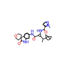 CC(C1C(NC(=O)c2ccnn2C)C1C(=O)Nc1ccc2c(c1)NC(=O)C21CCOCC1)C12CC3CC31C2